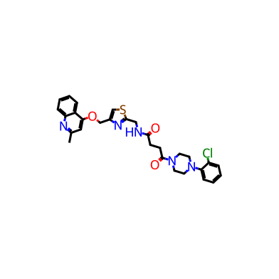 Cc1cc(OCc2csc(CNC(=O)CCC(=O)N3CCN(c4ccccc4Cl)CC3)n2)c2ccccc2n1